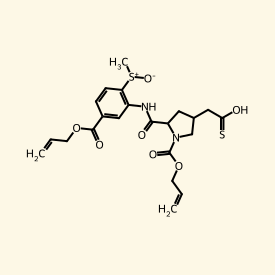 C=CCOC(=O)c1ccc([S+](C)[O-])c(NC(=O)C2CC(CC(O)=S)CN2C(=O)OCC=C)c1